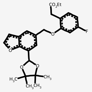 CCOC(=O)Cc1ccc(F)cc1OCc1cc(C2OC(C)(C)C(C)(C)O2)c2occc2c1